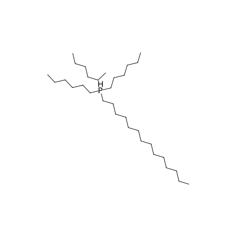 CCCCCCCCCCCCCC[PH](CCCCCC)(CCCCCC)C(C)CCCC